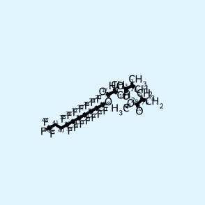 C=C(C)C(=O)O.C=C(C)C(=O)OC.C=C(C)C(=O)OC(F)(F)C(F)(F)C(F)(F)C(F)(F)C(F)(F)C(F)(F)C(F)(F)CCC(F)(F)F